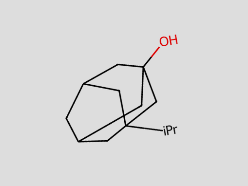 CC(C)C12CC3CC(CC(O)(C3)C1)C2